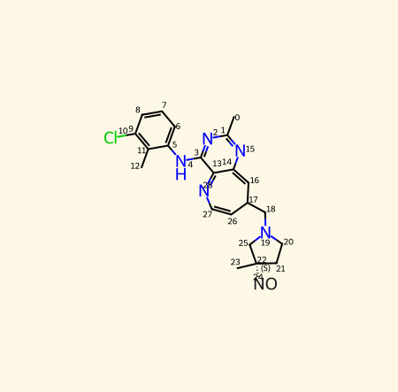 Cc1nc(Nc2cccc(Cl)c2C)c2c(n1)=CC(CN1CC[C@](C)(N=O)C1)C=CN=2